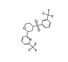 O=S(=O)(c1cccc(C(F)(F)F)c1)C1CCOC(c2cccc(C(F)(F)F)n2)C1